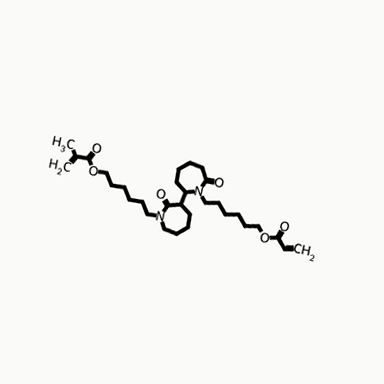 C=CC(=O)OCCCCCCN1C(=O)CCCCC1C1CCCCN(CCCCCCOC(=O)C(=C)C)C1=O